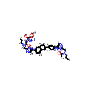 CCCN(Cc1ncc(-c2ccc(-c3ccc4cc(-c5cnc(CN(CCC)C(=O)CNC(=O)OC)[nH]5)ccc4c3)cc2)[nH]1)C(C)=O